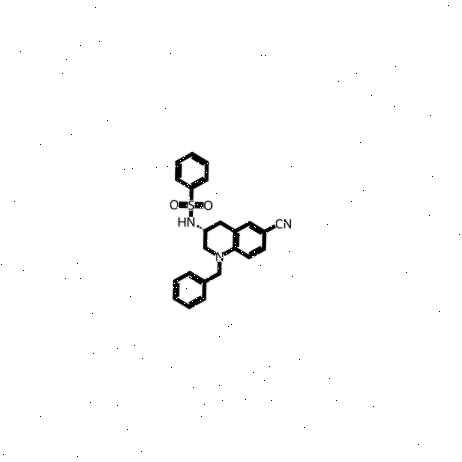 N#Cc1ccc2c(c1)C[C@@H](NS(=O)(=O)c1ccccc1)CN2Cc1ccccc1